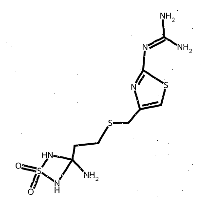 NC(N)=Nc1nc(CSCCC2(N)NS(=O)(=O)N2)cs1